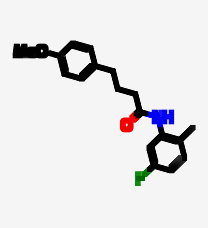 COc1ccc(CCCC(=O)Nc2cc(F)ccc2C)cc1